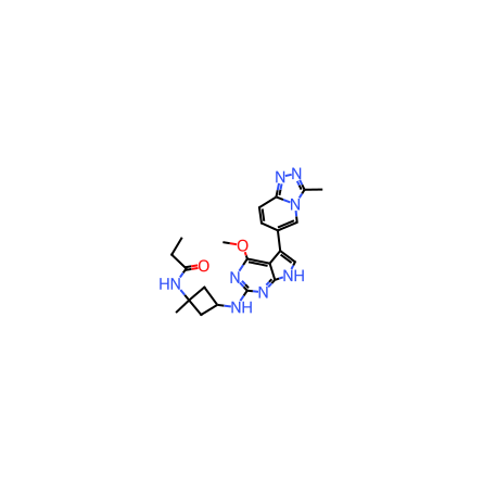 CCC(=O)NC1(C)CC(Nc2nc(OC)c3c(-c4ccc5nnc(C)n5c4)c[nH]c3n2)C1